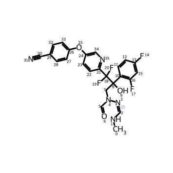 CN/C=N\N(C=O)CC(O)(c1ccc(F)cc1F)C(F)(F)c1ccc(Oc2ccc(C#N)cc2)cn1